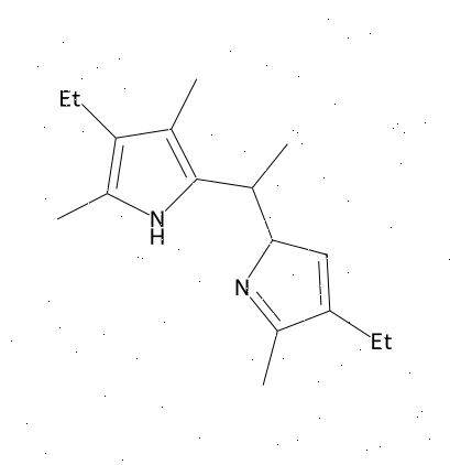 CCC1=CC(C(C)c2[nH]c(C)c(CC)c2C)N=C1C